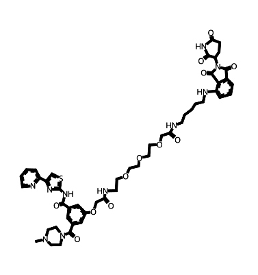 CN1CCN(C(=O)c2cc(OCC(=O)NCCOCCOCCOCC(=O)NCCCCCNc3cccc4c3C(=O)N(C3CCC(=O)NC3=O)C4=O)cc(C(=O)Nc3nc(-c4ccccn4)cs3)c2)CC1